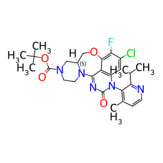 Cc1ccnc(C(C)C)c1-n1c(=O)nc2c3c(c(F)c(Cl)cc31)OC[C@@H]1CN(C(=O)OC(C)(C)C)CCN21